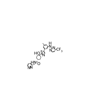 Cc1cc(Nc2nccc(C(F)(F)F)n2)cc(-c2cnc([C@]3(O)CC[C@H](C(=O)NCc4cccnn4)CC3)s2)c1